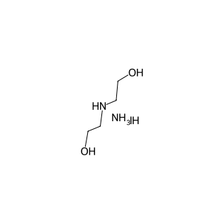 I.N.OCCNCCO